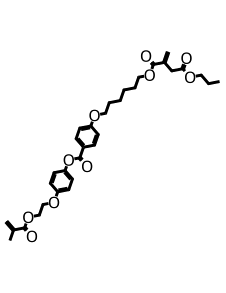 C=C(C)C(=O)OCCOc1ccc(OC(=O)c2ccc(OCCCCCCOC(=O)C(=C)CC(=O)OCCC)cc2)cc1